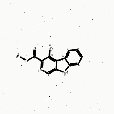 CC(C)OC(=O)c1ncc2[nH]c3ccccc3c2c1C(C)C